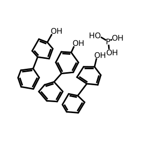 OP(O)O.Oc1ccc(-c2ccccc2)cc1.Oc1ccc(-c2ccccc2)cc1.Oc1ccc(-c2ccccc2)cc1